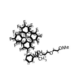 COCCOCCOC.C[NH+](C)c1ccccc1.Fc1c(F)c(F)c([B-](c2c(F)c(F)c(F)c(F)c2F)(c2c(F)c(F)c(F)c(F)c2F)c2c(F)c(F)c(F)c(F)c2F)c(F)c1F